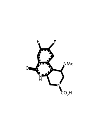 CNC1CN(C(=O)O)Cc2[nH]c(=O)c3cc(F)c(F)cc3c21